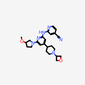 COC1CCN(c2cc(C3CCN(C4COC4)CC3)cc(Nc3cc(C#N)ccn3)n2)C1